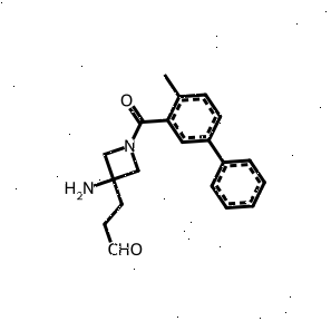 Cc1ccc(-c2ccccc2)cc1C(=O)N1CC(N)(CCC=O)C1